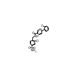 NS(=O)(=O)c1ccc(CNC(=O)c2ccc(-c3ccccc3F)nc2)c(Cl)c1